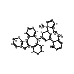 CC1=CC=CNC1C1=CC([C@@]2(N)C=CC=C2C)CC(N2C3=C(CCC=C3)c3sc4c(c3-c3ccccc32)CNC=C4)=C1